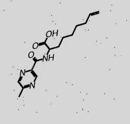 C=CCCCCCC(NC(=O)c1cnc(C)cn1)C(=O)O